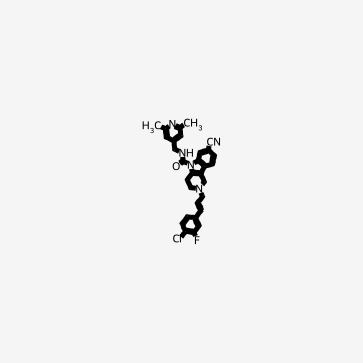 Cc1cc(CNC(=O)n2c3c(c4ccc(C#N)cc42)CN(C/C=C/c2ccc(Cl)c(F)c2)CC3)cc(C)n1